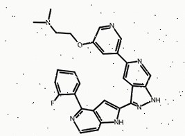 CN(C)CCOc1cncc(-c2cc3c(-c4cc5c(-c6ccccc6F)nccc5[nH]4)n[nH]c3cn2)c1